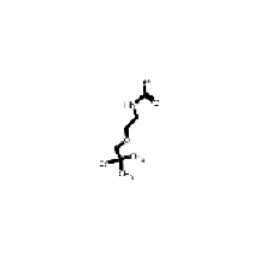 CCC(C)(C)COCCNC(=O)C(C)C